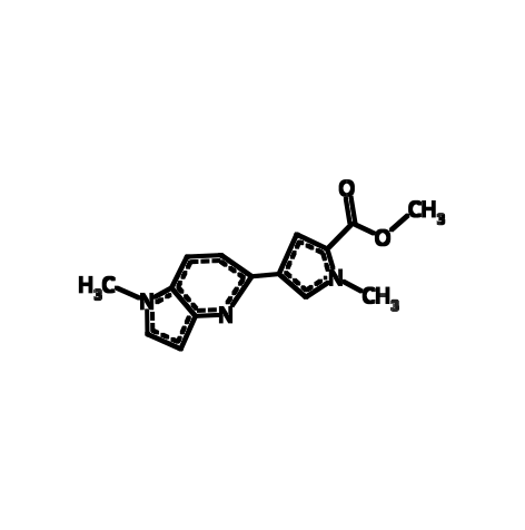 COC(=O)c1cc(-c2ccc3c(ccn3C)n2)cn1C